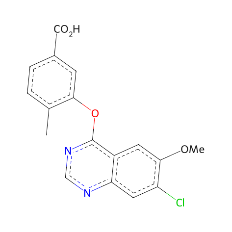 COc1cc2c(Oc3cc(C(=O)O)ccc3C)ncnc2cc1Cl